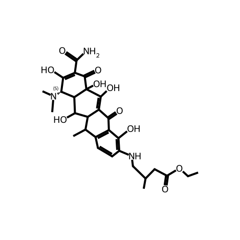 CCOC(=O)CC(C)CNc1ccc2c(c1O)C(=O)C1=C(O)C3(O)C(=O)C(C(N)=O)=C(O)[C@@H](N(C)C)C3C(O)C1C2C